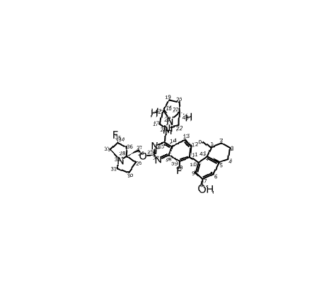 CC1CCCc2cc(O)cc(-c3ccc4c(N5C[C@H]6CC[C@@H](C5)N6)nc(OC[C@@]56CCCN5C[C@H](F)C6)nc4c3F)c21